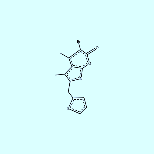 Cc1c(Br)c(=O)oc2nn(Cc3cccs3)c(C)c12